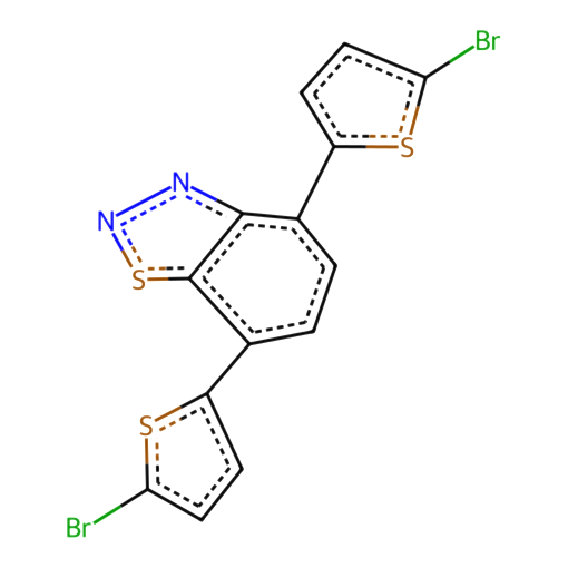 Brc1ccc(-c2ccc(-c3ccc(Br)s3)c3snnc23)s1